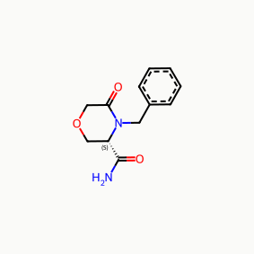 NC(=O)[C@@H]1COCC(=O)N1Cc1ccccc1